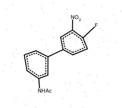 CC(=O)Nc1cccc(-c2ccc(F)c([N+](=O)[O-])c2)c1